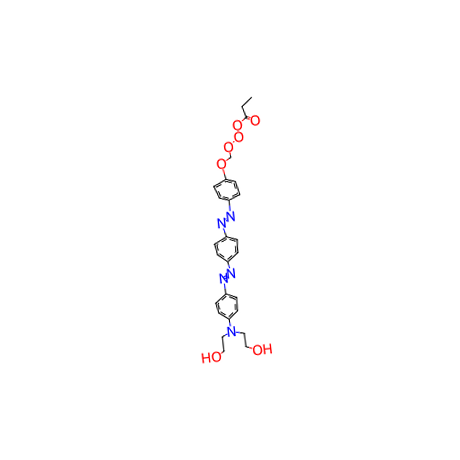 CCC(=O)OOOCOc1ccc(N=Nc2ccc(N=Nc3ccc(N(CCO)CCO)cc3)cc2)cc1